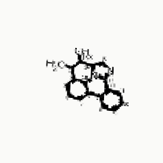 CC1c2cccc3c4ccccc4c4ncc(n4c23)C1C